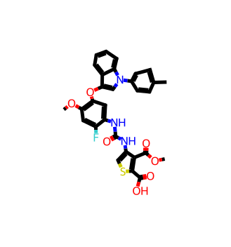 COC(=O)c1c(NC(=O)Nc2cc(Oc3cn(-c4ccc(C)cc4)c4ccccc34)c(OC)cc2F)csc1C(=O)O